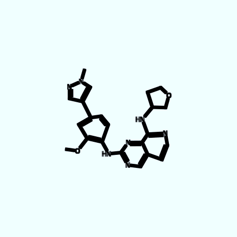 COc1cc(-c2cnn(C)c2)ccc1Nc1ncc2ccnc(NC3CCOC3)c2n1